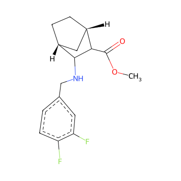 COC(=O)C1C(NCc2ccc(F)c(F)c2)[C@@H]2CC[C@H]1C2